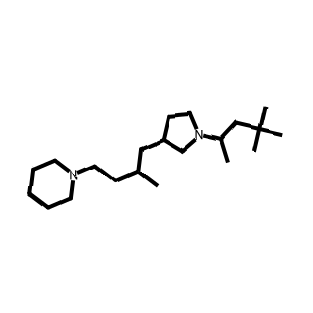 CC(CCN1CCCCC1)CC1CCN(C(C)CC(C)(C)C)C1